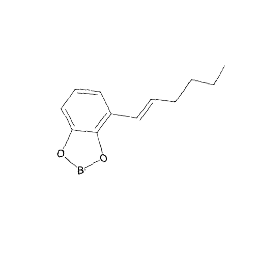 CCCCC=Cc1cccc2c1O[B]O2